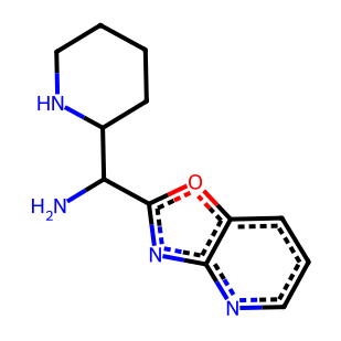 NC(c1nc2ncccc2o1)C1CCCCN1